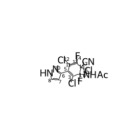 CC(=O)NC1(F)C(Cl)=C(c2cc[nH]n2)C(Cl)=C(F)C1(Cl)C#N